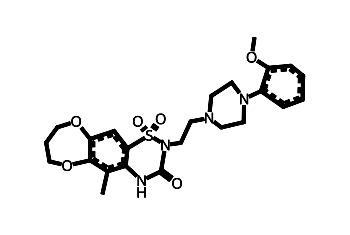 COc1ccccc1N1CCN(CCN2C(=O)Nc3c(cc4c(c3C)OCCCO4)S2(=O)=O)CC1